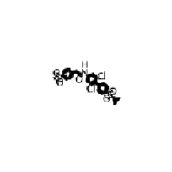 CS(=O)(=O)c1ccc(CC(=O)Nc2cc(Cl)c(-c3ccc(S(=O)(=O)C4CC4)cc3)c(Cl)c2)cc1